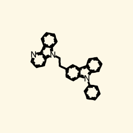 c1ccc(-n2c3ccccc3c3cc(CCn4c5ccccc5c5ncccc54)ccc32)cc1